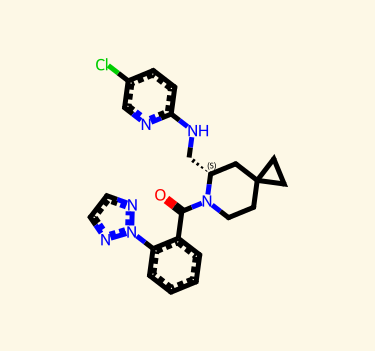 O=C(c1ccccc1-n1nccn1)N1CCC2(CC2)C[C@H]1CNc1ccc(Cl)cn1